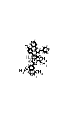 COc1cc(C(=O)C(=O)N(C)[C@@H](CC(C)C)C(=O)N(Cc2ccc(Cl)cc2)C(CCc2ccncc2)CCc2ccncc2)cc(OC)c1OC